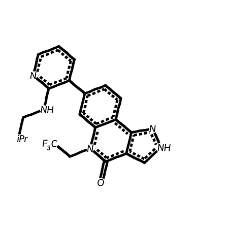 CC(C)CNc1ncccc1-c1ccc2c3n[nH]cc3c(=O)n(CC(F)(F)F)c2c1